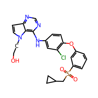 O=S(=O)(CC1CC1)c1cccc(Oc2ccc(Nc3ncnc4ccn(CCO)c34)cc2Cl)c1